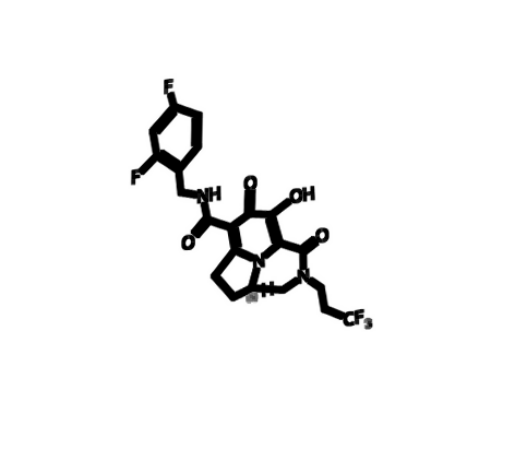 O=C(NCc1ccc(F)cc1F)c1c2n3c(c(O)c1=O)C(=O)N(CCC(F)(F)F)C[C@@H]3CC2